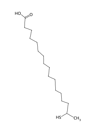 CC(S)CCCCCCCCCCCCCCC(=O)O